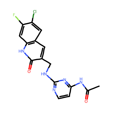 CC(=O)Nc1ccnc(NCc2cc3cc(Cl)c(F)cc3[nH]c2=O)n1